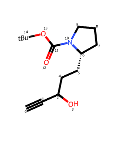 C#CC(O)CC[C@H]1CCCN1C(=O)OC(C)(C)C